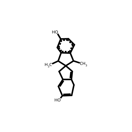 CC1c2ccc(O)cc2C(C)C12C=C1CC=C(O)C=C1C2